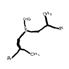 CC(C)C(C)CN([C]=O)CC(C)C(C)C